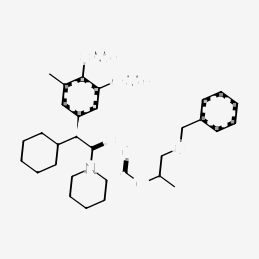 COc1cc([C@@H](C(=O)N2CCCC[C@H]2C(=O)OC(C)COCc2ccccc2)C2CCCCC2)cc(C)c1OC